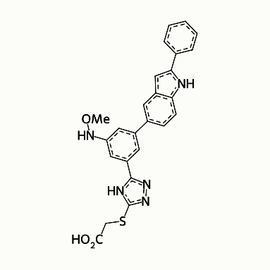 CONc1cc(-c2ccc3[nH]c(-c4ccccc4)cc3c2)cc(-c2nnc(SCC(=O)O)[nH]2)c1